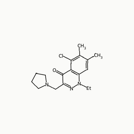 CCn1nc(CN2CCCC2)c(=O)c2c(Cl)c(C)c(C)cc21